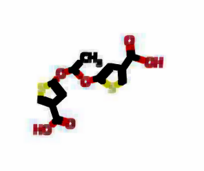 CC(Oc1cc(C(=O)O)cs1)Oc1cc(C(=O)O)cs1